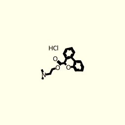 CN(C)CCOC(=O)C1Oc2ccccc2-c2ccccc21.Cl